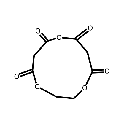 O=C1CC(=O)OC(=O)CC(=O)OCCO1